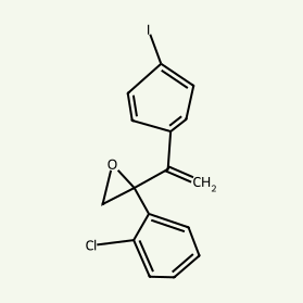 C=C(c1ccc(I)cc1)C1(c2ccccc2Cl)CO1